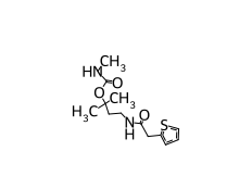 CNC(=O)OC(C)(C)CCNC(=O)Cc1cccs1